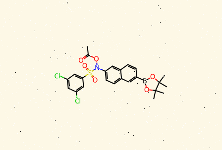 CC(=O)ON(c1ccc2cc(B3OC(C)(C)C(C)(C)O3)ccc2c1)S(=O)(=O)c1cc(Cl)cc(Cl)c1